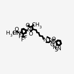 CC(=O)Nc1ccc(N2C(=O)C(C)=C(CCCCCCN3CCN(S(=O)(=O)c4cccc5nsnc45)CC3)C2=O)cc1C(F)(F)F